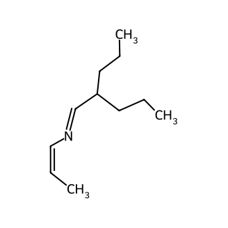 C/C=C\N=C\C(CCC)CCC